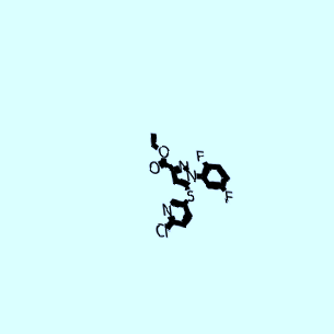 CCOC(=O)c1cc(Sc2ccc(Cl)nc2)n(-c2cc(F)ccc2F)n1